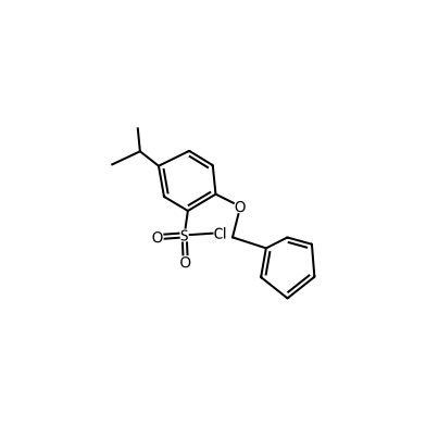 CC(C)c1ccc(OCc2ccccc2)c(S(=O)(=O)Cl)c1